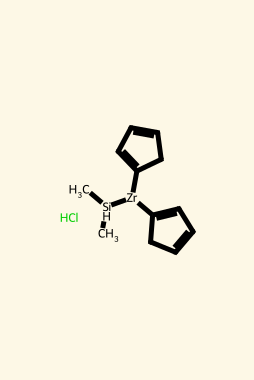 C[SiH](C)[Zr]([C]1=CC=CC1)[C]1=CC=CC1.Cl